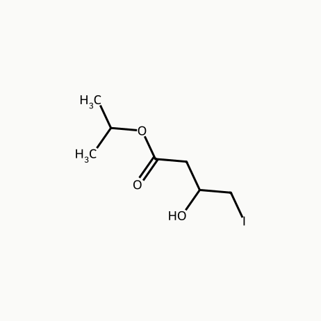 CC(C)OC(=O)CC(O)CI